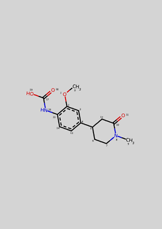 COc1cc(C2CCN(C)C(=O)C2)ccc1NC(=O)O